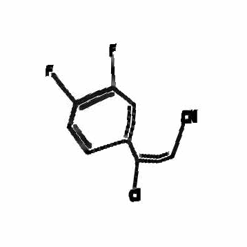 N#C/C=C(/Cl)c1ccc(F)c(F)c1